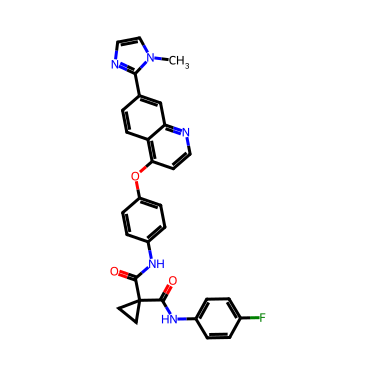 Cn1ccnc1-c1ccc2c(Oc3ccc(NC(=O)C4(C(=O)Nc5ccc(F)cc5)CC4)cc3)ccnc2c1